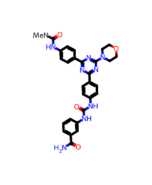 CNC(=O)Nc1ccc(-c2nc(-c3ccc(NC(=O)Nc4cccc(C(N)=O)c4)cc3)nc(N3CCOCC3)n2)cc1